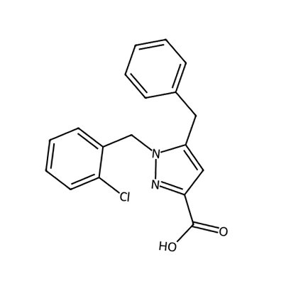 O=C(O)c1cc(Cc2ccccc2)n(Cc2ccccc2Cl)n1